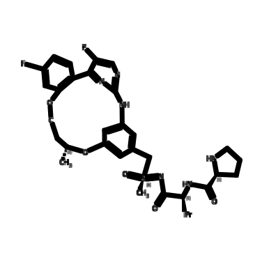 CC(C)[C@H](NC(=O)[C@@H]1CCCN1)C(=O)N=[S@](C)(=O)Cc1cc2cc(c1)O[C@H](C)CCOc1cc(F)ccc1-c1nc(ncc1F)N2